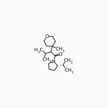 CC(C)C(C(=O)N1CCC[C@H]1C(C)C)C1(C)CCOCC1